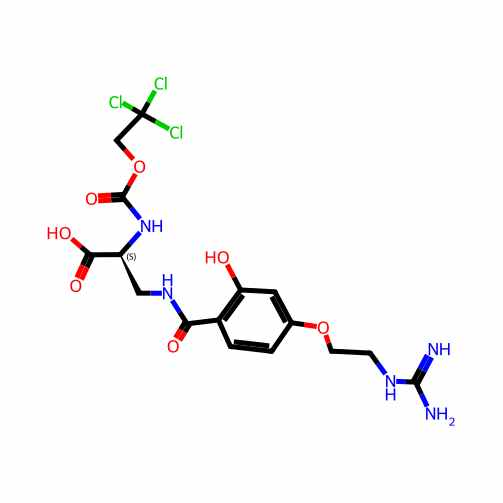 N=C(N)NCCOc1ccc(C(=O)NC[C@H](NC(=O)OCC(Cl)(Cl)Cl)C(=O)O)c(O)c1